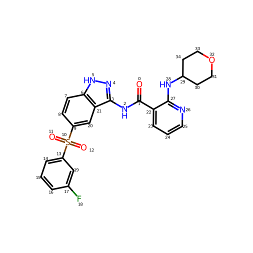 O=C(Nc1n[nH]c2ccc(S(=O)(=O)c3cccc(F)c3)cc12)c1cccnc1NC1CCOCC1